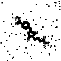 COC(=O)c1ccc(/C=C2\SC(=S)N(CCCC(=O)O)C2=O)cc1